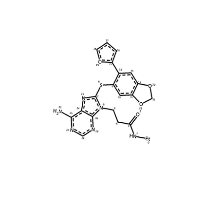 CCNC(=O)CCn1c(Sc2cc3c(cc2-c2ccco2)OCO3)nc2c(N)ncnc21